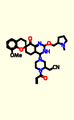 C=CC(=O)N1CCN(C2NC(OCC3CCCN3C)N=C3C(=O)[C@]4(CCc5cccc(OC)c5O4)CCC32)CC1CC#N